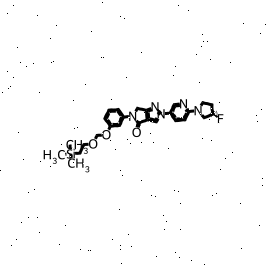 C[Si](C)(C)CCOCOc1cccc(N2Cc3nn(-c4ccc(N5CC[C@@H](F)C5)nc4)cc3C2=O)c1